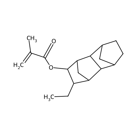 C=C(C)C(=O)OC1C(CC)C2CC1C1C3CCC(C3)C21